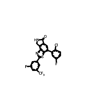 O=C1NCc2c1cc(-c1cc(F)ccc1Cl)c1sc(-c3cc(F)cc(C(F)(F)F)c3)nc21